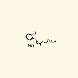 CC(CCC(=O)O)SCc1ccccc1Cl.Cl